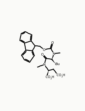 CC[C@H](C)[C@@H](C(=O)N(C)[C@@H](CC(=O)O)C(=O)O)N(C)C(=O)OCC1c2ccccc2-c2ccccc21